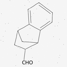 O=CC1CC2CC1c1ccccc12